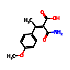 COc1ccc(/C(C)=C(\C(N)=O)C(=O)O)cc1